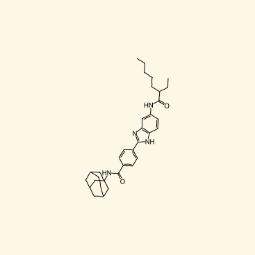 CCCCCC(CC)C(=O)Nc1ccc2[nH]c(-c3ccc(C(=O)NC45CC6CC(CC(C6)C4)C5)cc3)nc2c1